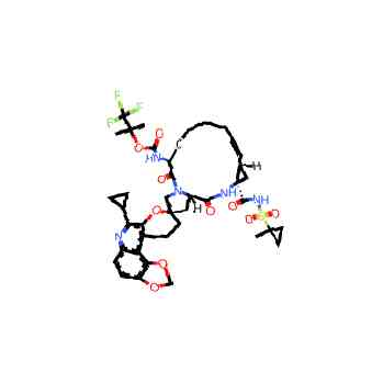 CC(C)(OC(=O)N[C@H]1CCCCC/C=C\[C@@H]2C[C@@]2(C(=O)NS(=O)(=O)C2(C)CC2)NC(=O)[C@@H]2C[C@]3(CCc4c(c(C5CC5)nc5ccc6c(c45)OCO6)O3)CN2C1=O)C(F)(F)F